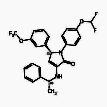 C[C@@H](NC1=C[C@@H](c2cccc(OC(F)(F)F)c2)N(c2ccc(OC(F)F)cc2)C1=O)c1ccccc1